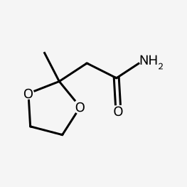 CC1(CC(N)=O)OCCO1